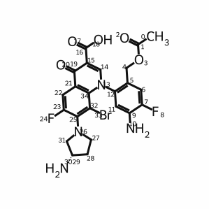 CC(=O)OCc1cc(F)c(N)cc1-n1cc(C(=O)O)c(=O)c2cc(F)c(N3CC[C@H](N)C3)c(Br)c21